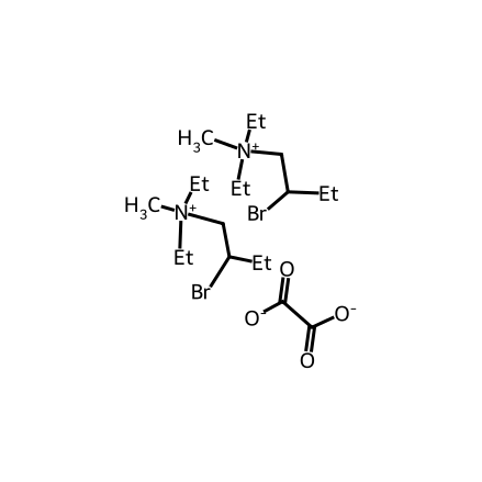 CCC(Br)C[N+](C)(CC)CC.CCC(Br)C[N+](C)(CC)CC.O=C([O-])C(=O)[O-]